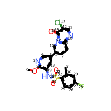 COc1ncc(-c2ccc3ncc(Cl)c(=O)n3c2)cc1NS(=O)(=O)c1ccc(F)cc1C